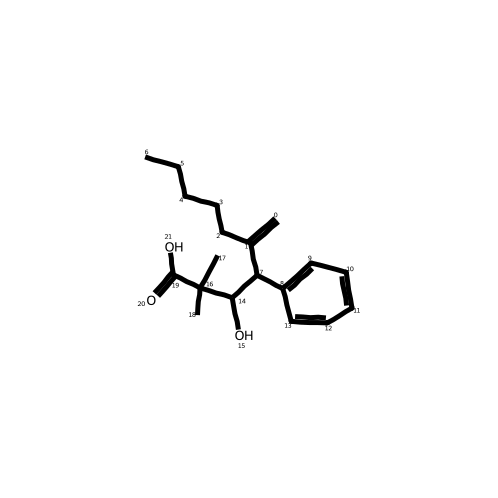 C=C(CCCCC)C(c1ccccc1)C(O)C(C)(C)C(=O)O